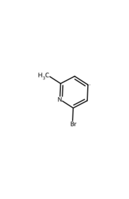 Cc1c[c]cc(Br)n1